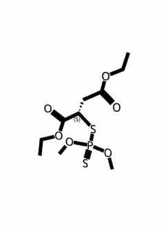 CCOC(=O)C[C@H](SP(=S)(OC)OC)C(=O)OCC